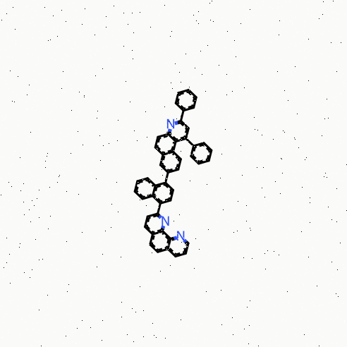 c1ccc(-c2cc(-c3ccccc3)c3c(ccc4cc(-c5ccc(-c6ccc7ccc8cccnc8c7n6)c6ccccc56)ccc43)n2)cc1